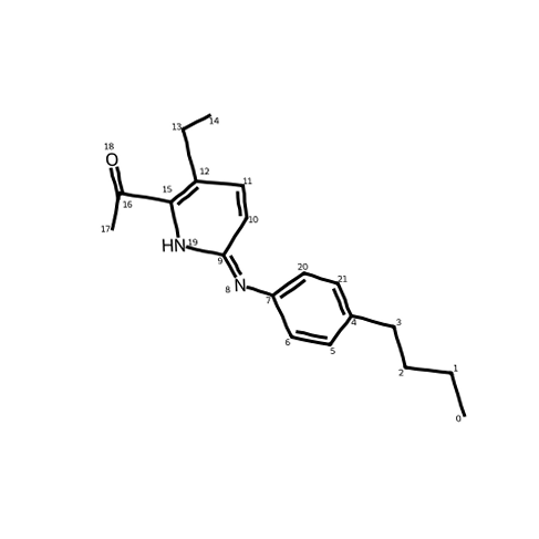 CCCCc1ccc(N=c2ccc(CC)c(C(C)=O)[nH]2)cc1